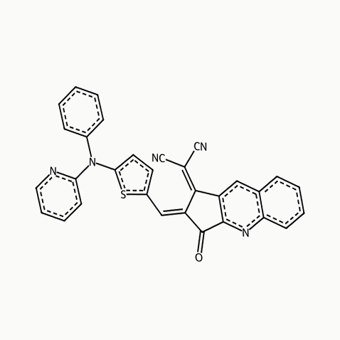 N#CC(C#N)=C1/C(=C\c2ccc(N(c3ccccc3)c3ccccn3)s2)C(=O)c2nc3ccccc3cc21